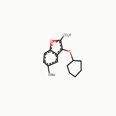 COc1ccc2oc(C(=O)O)c(OC3CCCCC3)c2c1